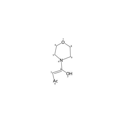 CC(=O)/C=C(\O)N1CCOCC1